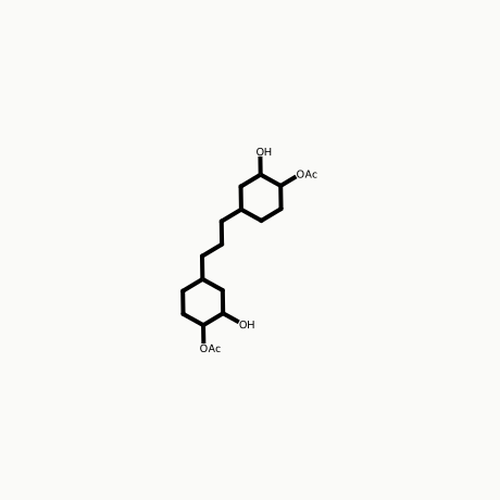 CC(=O)OC1CCC(CCCC2CCC(OC(C)=O)C(O)C2)CC1O